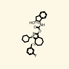 O=C(N[C@@H]1c2ccccc2C[C@@H]1O)Oc1nn(C2CCCCC2)c2c1CCCC[C@@H]2Cc1cccc(F)c1